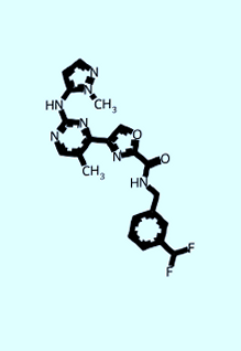 Cc1cnc(Nc2ccnn2C)nc1-c1coc(C(=O)NCc2cccc(C(F)F)c2)n1